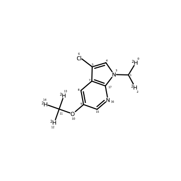 [2H]C([2H])n1cc(Cl)c2cc(OC([2H])([2H])[2H])cnc21